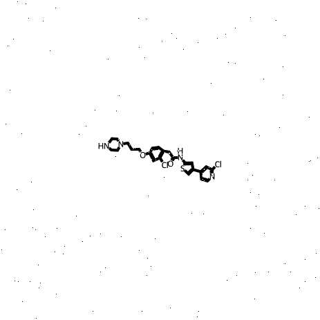 O=C(Cc1ccc(OCCCN2CCNCC2)cc1Cl)Nc1cc(-c2ccnc(Cl)c2)cs1